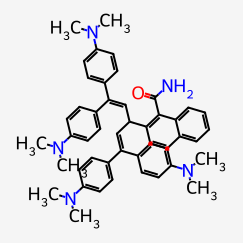 CN(C)c1ccc(C(=CC(C=C(c2ccc(N(C)C)cc2)c2ccc(N(C)C)cc2)c2ccc3ccccc3c2C(N)=O)c2ccc(N(C)C)cc2)cc1